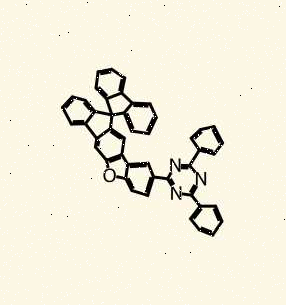 c1ccc(-c2nc(-c3ccccc3)nc(-c3ccc4oc5cc6c(cc5c4c3)C3(c4ccccc4-c4ccccc43)c3ccccc3-6)n2)cc1